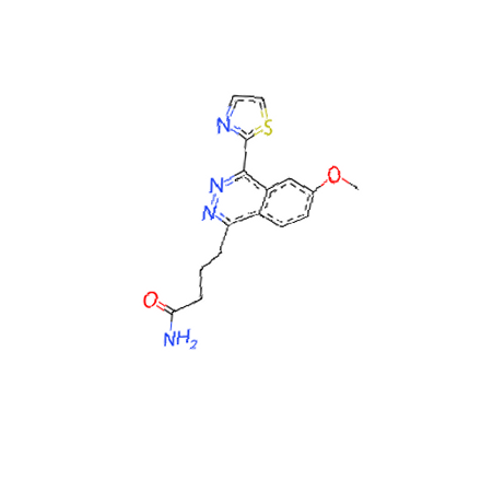 COc1ccc2c(CCCC(N)=O)nnc(-c3nccs3)c2c1